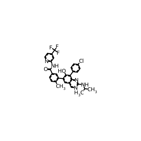 Cc1ccc(C(=O)Nc2cc(C(F)(F)F)ccn2)cc1-c1cc2cnc(NC(C)C)nc2c(-c2ccc(Cl)cc2)c1O